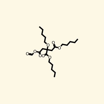 CCCCCOC(=O)CC(CC(=O)OC=O)(OCCCCC)C(=O)OCCCCC